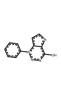 Oc1nnn(-c2ccccc2)c2ccnc1-2